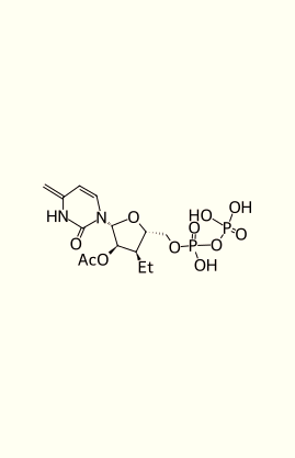 C=C1C=CN([C@@H]2O[C@H](COP(=O)(O)OP(=O)(O)O)[C@@H](CC)[C@H]2OC(C)=O)C(=O)N1